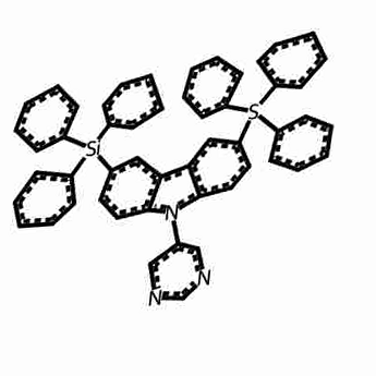 c1ccc([Si](c2ccccc2)(c2ccccc2)c2ccc3c(c2)c2cc(S(c4ccccc4)(c4ccccc4)c4ccccc4)ccc2n3-c2cncnc2)cc1